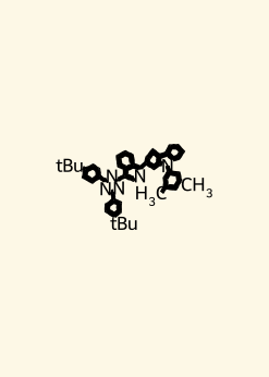 Cc1cc(C)cc(-n2c3ccccc3c3ccc(-c4ncc(-c5nc(-c6ccc(C(C)(C)C)cc6)nc(-c6ccc(C(C)(C)C)cc6)n5)c5ccccc45)cc32)c1